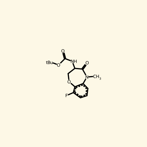 CN1C(=O)C(NC(=O)OC(C)(C)C)COc2c(F)cccc21